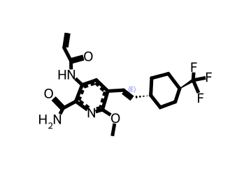 C=CC(=O)Nc1cc(/C=C/[C@H]2CC[C@H](C(F)(F)F)CC2)c(OC)nc1C(N)=O